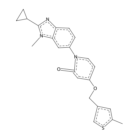 Cc1cc(COc2ccn(-c3ccc4nc(C5CC5)n(C)c4c3)c(=O)c2)cs1